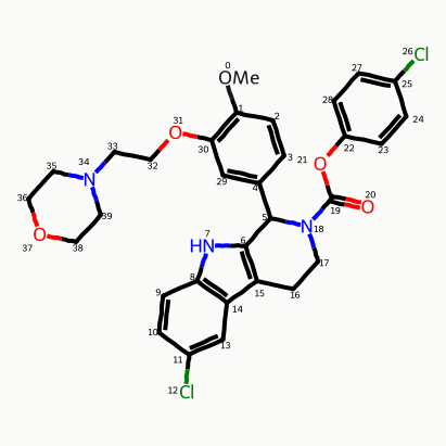 COc1ccc(C2c3[nH]c4ccc(Cl)cc4c3CCN2C(=O)Oc2ccc(Cl)cc2)cc1OCCN1CCOCC1